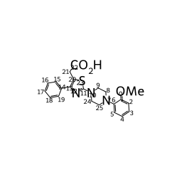 COc1ccccc1N1CCN(c2nc(-c3ccccc3)c(CC(=O)O)s2)CC1